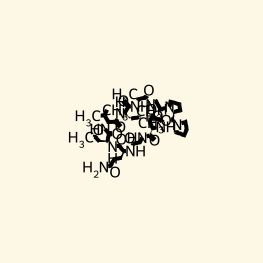 CC(=O)C[C@H](NC(=O)[C@H](CCC(N)=O)NC(=O)CNC(=O)[C@@H]1C[C@@H](O)CN1)C(=O)N[C@H](C(=O)N[C@@H](CC(C)C)C(=O)N[C@@H](C)C(=O)NCC(=O)N1CCC[C@H]1C(=O)N1CCCC1)C(C)C